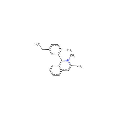 CCc1ccc(C)c(-c2c3ccccc3cc(C)[n+]2C)c1